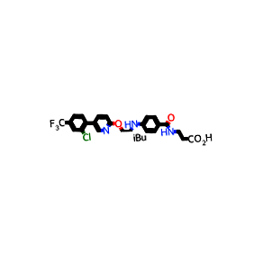 CC[C@H](C)[C@@H](COc1ccc(-c2ccc(C(F)(F)F)cc2Cl)cn1)Nc1ccc(C(=O)NCCC(=O)O)cc1